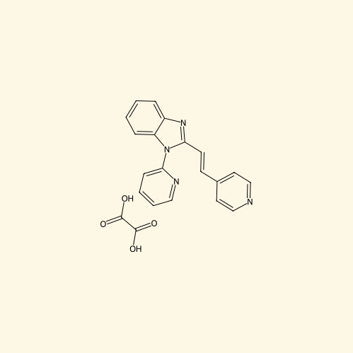 C(=Cc1nc2ccccc2n1-c1ccccn1)c1ccncc1.O=C(O)C(=O)O